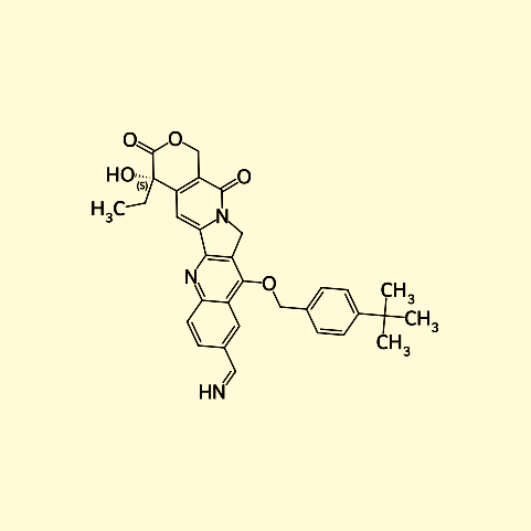 CC[C@@]1(O)C(=O)OCc2c1cc1n(c2=O)Cc2c-1nc1ccc(C=N)cc1c2OCc1ccc(C(C)(C)C)cc1